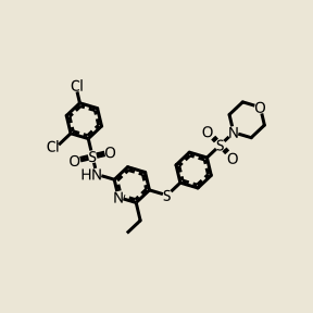 CCc1nc(NS(=O)(=O)c2ccc(Cl)cc2Cl)ccc1Sc1ccc(S(=O)(=O)N2CCOCC2)cc1